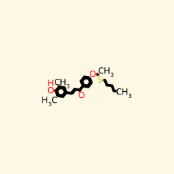 CCCCCSC(C)Oc1ccc(C(=O)C=Cc2cc(C)c(O)c(C)c2)cc1